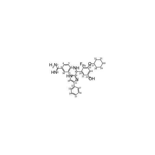 N=C(N)c1ccc(NC(c2nc(-c3ccccc3)c[nH]2)c2cc(O)cc(OC3CCCCC3)c2F)cc1